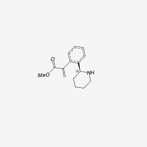 C=C(C(=O)OC)c1ccccc1[C@@H]1CCCCN1